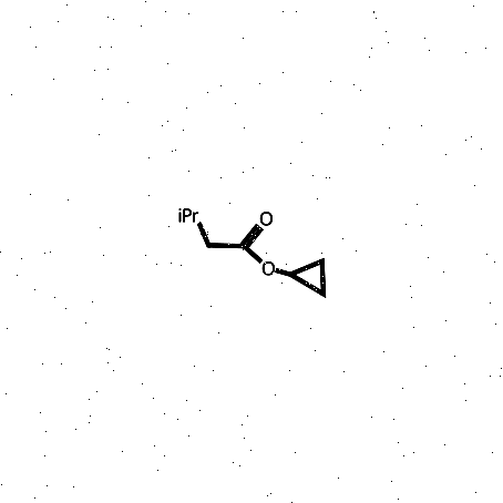 CC(C)CC(=O)OC1CC1